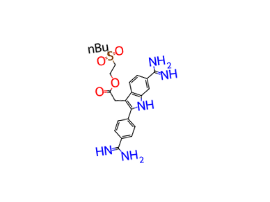 CCCCS(=O)(=O)CCOC(=O)Cc1c(-c2ccc(C(=N)N)cc2)[nH]c2cc(C(=N)N)ccc12